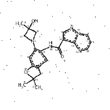 CC1(O)CN(c2cc3c(cc2NC(=O)c2cnn4cccnc24)CC(C)(C)O3)C1